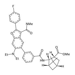 CCN(CC)c1cc2oc(-c3ccc(F)cc3)c(C(=O)NC)c2cc1-c1cccc(C(=O)N[C@H]2[C@H]3C[C@@H](C[C@H]2C(=O)OC)C3(C)C)c1